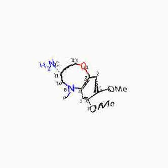 COc1cc2c(cc1OC)N(C)C[C@H](N)CO2